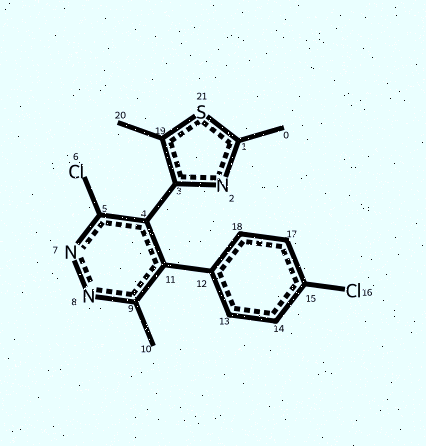 Cc1nc(-c2c(Cl)nnc(C)c2-c2ccc(Cl)cc2)c(C)s1